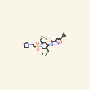 CCC1CN(S(=O)(=O)CCN2CCCC2)C(CC)CC1NC(=O)c1cc(C2CC2)on1